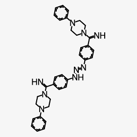 N=C(c1ccc(/N=N/Nc2ccc(C(=N)N3CCN(c4ccccc4)CC3)cc2)cc1)N1CCN(c2ccccc2)CC1